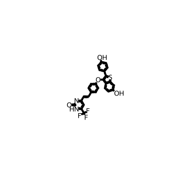 O=c1nc(C=Cc2ccc(Oc3c(-c4ccc(O)cc4)sc4cc(O)ccc34)cc2)cc(C(F)(F)F)[nH]1